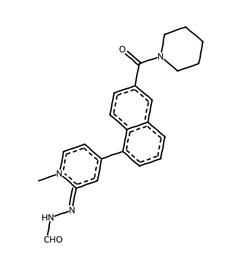 Cn1ccc(-c2cccc3cc(C(=O)N4CCCCC4)ccc23)c/c1=N/NC=O